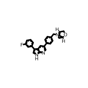 Fc1cccc(-c2c[nH]c3ncc(-c4ccc(CN5C[C@@H]6C[C@H]5CO6)cc4)cc23)c1